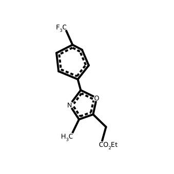 CCOC(=O)Cc1oc(-c2ccc(C(F)(F)F)cc2)nc1C